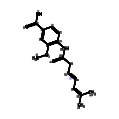 COc1cc(C(=O)O)ccc1NC(=O)C/N=C/C=C(C)C